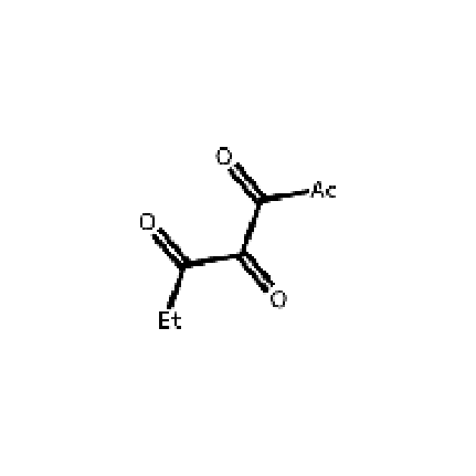 CCC(=O)C(=O)C(=O)C(C)=O